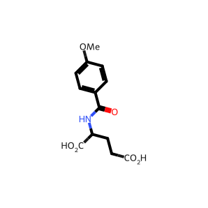 COc1ccc(C(=O)NC(CCC(=O)O)C(=O)O)cc1